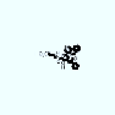 O=C(O)CCCCNC(=O)c1nc(-c2cccnc2)c2c(cc(-c3ccccc3)c(=O)n2CCc2ccccc2)c1O